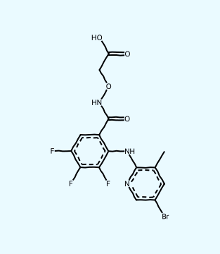 Cc1cc(Br)cnc1Nc1c(C(=O)NOCC(=O)O)cc(F)c(F)c1F